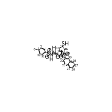 Cc1ccc(S(=O)(=O)NNC(=O)[C@@H]2C[C@@H](S)CN2S(=O)(=O)c2ccc3ccccc3c2)cc1